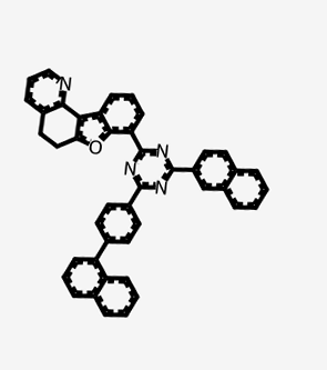 c1cnc2c(c1)CCc1oc3c(-c4nc(-c5ccc(-c6cccc7ccccc67)cc5)nc(-c5ccc6ccccc6c5)n4)cccc3c1-2